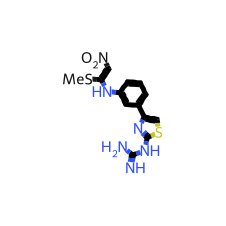 CSC(=C[N+](=O)[O-])Nc1cccc(-c2csc(NC(=N)N)n2)c1